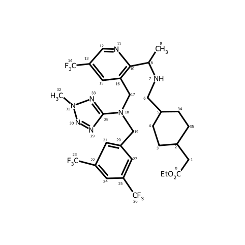 CCOC(=O)CC1CCC(CNC(C)c2ncc(C(F)(F)F)cc2CN(Cc2cc(C(F)(F)F)cc(C(F)(F)F)c2)c2nnn(C)n2)CC1